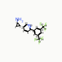 N[C@@H]1C[C@H]1c1ccc(-c2cc(C(F)(F)F)cc(C(F)(F)F)c2)nc1